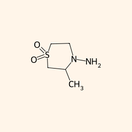 CC1CS(=O)(=O)CCN1N